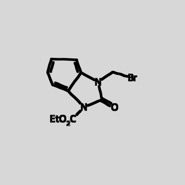 CCOC(=O)n1c(=O)n(CBr)c2ccccc21